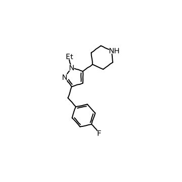 CCn1nc(Cc2ccc(F)cc2)cc1C1CCNCC1